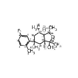 Cc1ccc(F)cc1[C@@]1(C)C[C@@H]2[C@@H]([C@@H](C)C1)N(C)OC2(C)C